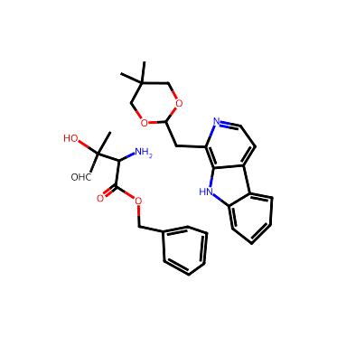 CC(O)(C=O)C(N)C(=O)OCc1ccccc1.CC1(C)COC(Cc2nccc3c2[nH]c2ccccc23)OC1